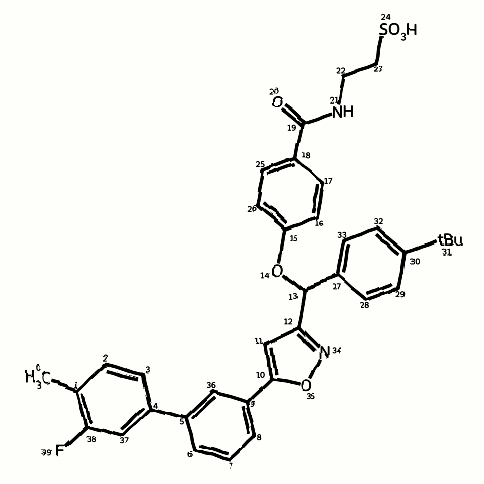 Cc1ccc(-c2cccc(-c3cc(C(Oc4ccc(C(=O)NCCS(=O)(=O)O)cc4)c4ccc(C(C)(C)C)cc4)no3)c2)cc1F